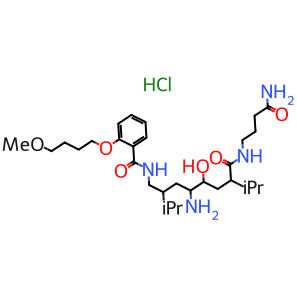 COCCCCOc1ccccc1C(=O)NCC(CC(N)C(O)CC(C(=O)NCCCC(N)=O)C(C)C)C(C)C.Cl